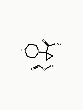 COC(=O)C1(N2CCNCC2)CC1.COC=O